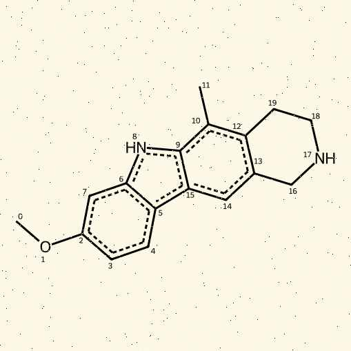 COc1ccc2c(c1)[nH]c1c(C)c3c(cc12)CNCC3